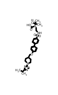 CC(C)c1noc(N2CCC(COc3ccc(-c4ccc(S(=O)(=O)NCCN(C(=O)O)C(C)(C)C)cc4)cc3)CC2)n1